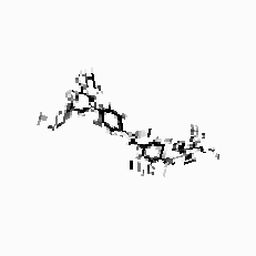 Cc1cc(CNc2ccc(N3CC(C)OC(C)C3)cc2)ccc1NS(=O)(=O)C(C)C